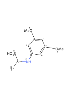 CCC(Nc1cc(OC)cc(OC)c1)S(=O)(=O)O